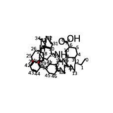 CC[C@H](C1CCC(C(=O)O)CC1)N(C)c1nc2c(c(N[C@@H](CN3C4CCC[C@@H]3CC4)c3cnn(C)c3)n1)C[C@H](c1ccccc1)CC2